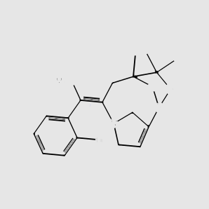 CO/C(=C1\CC2(C)OB(OC2(C)C)C2=CCN1C2)c1ccccc1Br